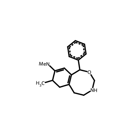 CNC1=CC2=C(CCNCOC2c2ccccc2)CC1C